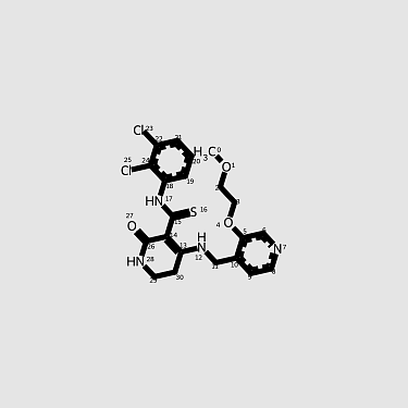 COCCOc1cnccc1CNC1=C(C(=S)Nc2cccc(Cl)c2Cl)C(=O)NCC1